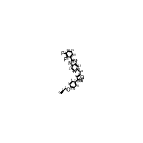 C#CCOc1ccc(-c2cc(Cn3cc4nc(-c5cccc(F)c5F)nc-4cn3)on2)cc1